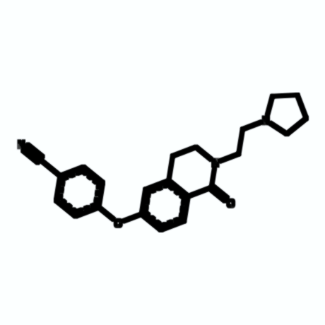 N#Cc1ccc(Oc2ccc3c(c2)CCN(CCN2CCCC2)C3=O)cc1